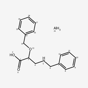 O=C(O)C(CNCc1ccccc1)OCc1ccccc1.[AlH3]